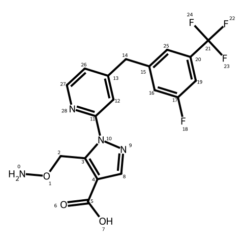 NOCc1c(C(=O)O)cnn1-c1cc(Cc2cc(F)cc(C(F)(F)F)c2)ccn1